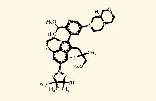 CO[C@@H](C)c1ncc(N2CCN3CCOC[C@@H]3C2)cc1-c1c(CC(C)(C)COC(C)=O)c2cc(B3OC(C)(C)C(C)(C)O3)cc3c2n1CCO3